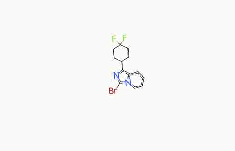 FC1(F)CCC(c2nc(Br)n3ccccc23)CC1